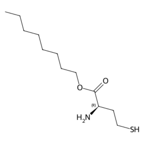 CCCCCCCCOC(=O)[C@H](N)CCS